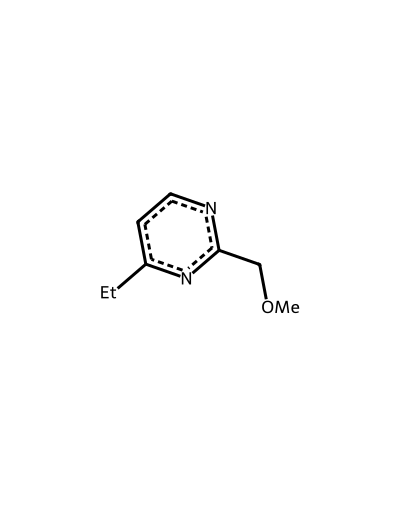 CCc1ccnc(COC)n1